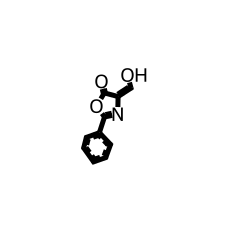 O=C1OC(c2ccccc2)=N/C1=C/O